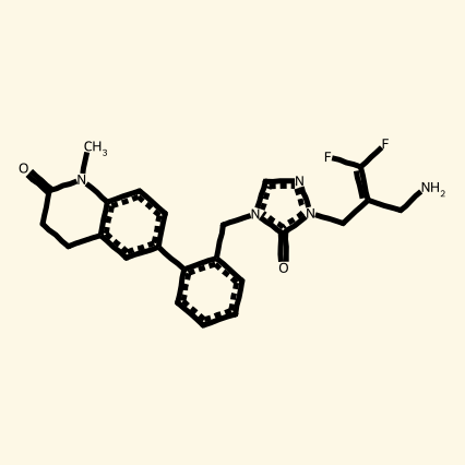 CN1C(=O)CCc2cc(-c3ccccc3Cn3cnn(CC(CN)=C(F)F)c3=O)ccc21